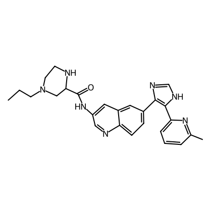 CCCN1CCNC(C(=O)Nc2cnc3ccc(-c4nc[nH]c4-c4cccc(C)n4)cc3c2)C1